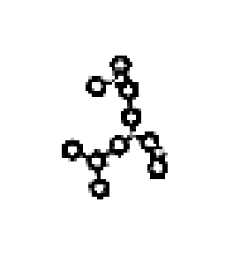 c1ccc(-c2cc(-c3ccccc3)cc(-c3ccc(N(c4ccc(-c5ccc6c7ccccc7n(-c7ccccc7)c6c5)cc4)c4ccc5oc6ccccc6c5c4)cc3)c2)cc1